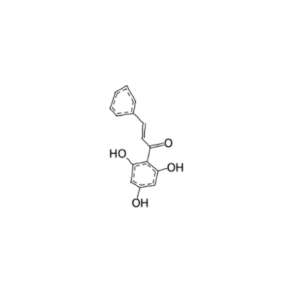 O=C(C=Cc1ccccc1)c1c(O)cc(O)cc1O